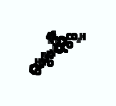 Cc1cc(N2CC(F)(C(=O)NCC3CCCCO3)C2)nc2c1c(=O)c(C(=O)O)cn2-c1nccs1